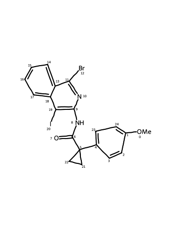 COc1ccc(C2(C(=O)Nc3nc(Br)c4ccccc4c3I)CC2)cc1